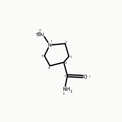 CC(C)(C)N1CCC(C(N)=O)CC1